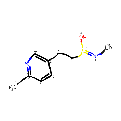 N#CN=S(O)CCc1ccc(C(F)(F)F)nc1